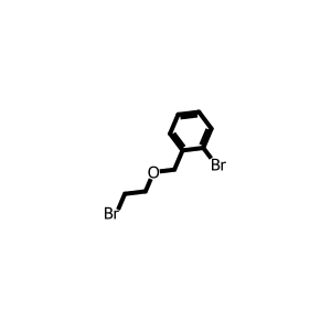 BrCCOCc1ccccc1Br